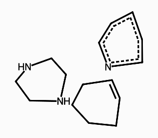 C1=CCCCC1.C1CNCCN1.c1ccncc1